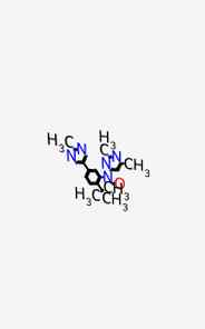 Cc1cc(N(C=O)c2cc(-c3cnc(C)nc3)ccc2C(C)(C)C)nc(C)n1